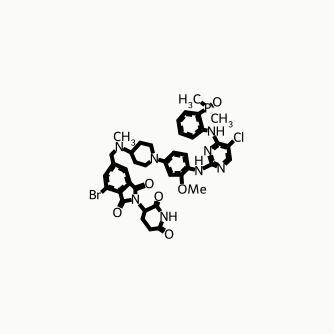 COc1cc(N2CCC(N(C)Cc3cc(Br)c4c(c3)C(=O)N(C3CCC(=O)NC3=O)C4=O)CC2)ccc1Nc1ncc(Cl)c(Nc2ccccc2P(C)(C)=O)n1